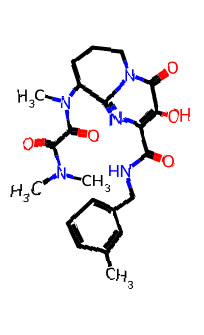 Cc1cccc(CNC(=O)c2nc3n(c(=O)c2O)CCCC3N(C)C(=O)C(=O)N(C)C)c1